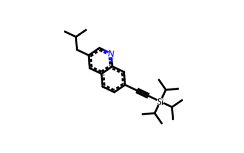 CC(C)Cc1cnc2cc(C#C[Si](C(C)C)(C(C)C)C(C)C)ccc2c1